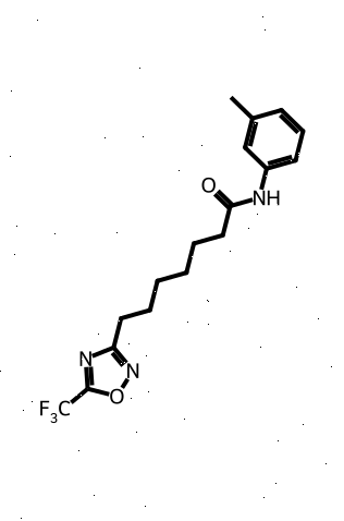 Cc1cccc(NC(=O)CCCCCCc2noc(C(F)(F)F)n2)c1